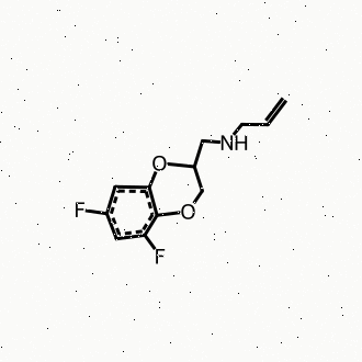 C=CCNCC1COc2c(F)cc(F)cc2O1